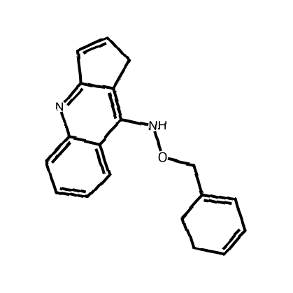 C1=CCCC(CONc2c3c(nc4ccccc24)C=CC3)=C1